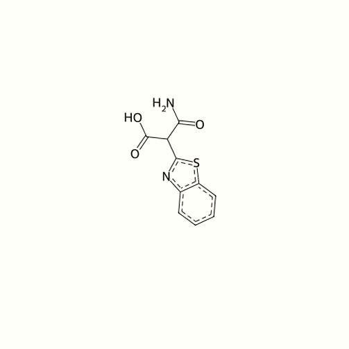 NC(=O)C(C(=O)O)c1nc2ccccc2s1